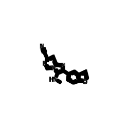 CNc1c(-c2ccc3occc3c2)nc2cc(C#N)ncn12